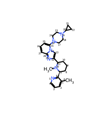 Cc1cccnc1[C@@H]1CCCC(c2cn3c(N4CCN(C5CC5)CC4)cccc3n2)N1C